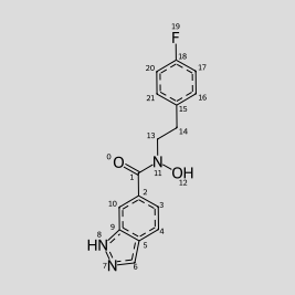 O=C(c1ccc2cn[nH]c2c1)N(O)CCc1ccc(F)cc1